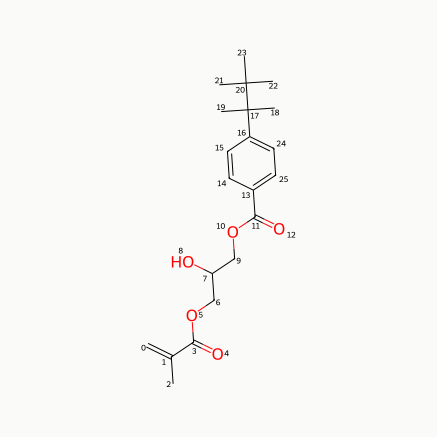 C=C(C)C(=O)OCC(O)COC(=O)c1ccc(C(C)(C)C(C)(C)C)cc1